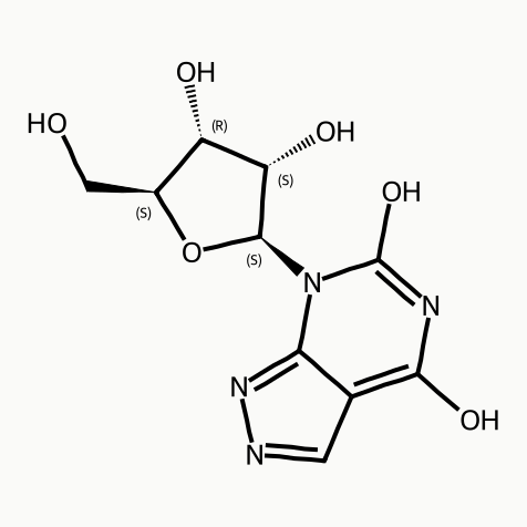 OC[C@@H]1O[C@H](n2c(O)nc(O)c3cnnc2-3)[C@@H](O)[C@H]1O